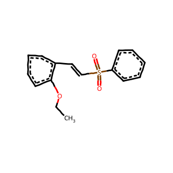 CCOc1ccccc1/C=C/S(=O)(=O)c1ccccc1